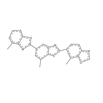 Cc1cccc2sc(-c3cc(C)c4sc(-c5ccc6ncoc6c5C)nc4c3)nc12